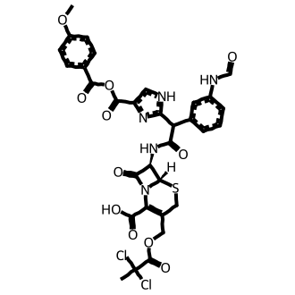 COc1ccc(C(=O)OC(=O)c2c[nH]c(C(C(=O)N[C@@H]3C(=O)N4C(C(=O)O)=C(COC(=O)C(C)(Cl)Cl)CS[C@@H]34)c3cccc(NC=O)c3)n2)cc1